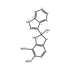 COc1ccc2c(c1OC)NC(O)(c1c[nH]c3ccccc13)C2